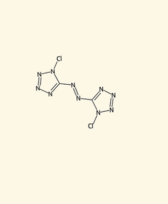 Cln1nnnc1N=Nc1nnnn1Cl